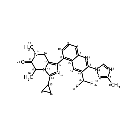 Cc1ncn(-c2nc3cccc(-c4nc(C5CC5)n5c4CN(C)C(=O)C5C)c3cc2C(F)F)n1